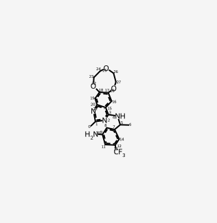 Cc1nc(NC(C)c2cc(N)cc(C(F)(F)F)c2)c2cc3c(cc2n1)OCCOCCO3